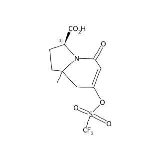 CC12CC[C@@H](C(=O)O)N1C(=O)C=C(OS(=O)(=O)C(F)(F)F)C2